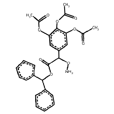 CC(=O)Oc1cc(C(ON)C(=O)OC(c2ccccc2)c2ccccc2)cc(OC(C)=O)c1OC(C)=O